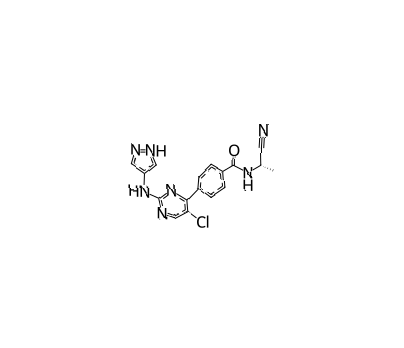 C[C@@H](C#N)NC(=O)c1ccc(-c2nc(Nc3cn[nH]c3)ncc2Cl)cc1